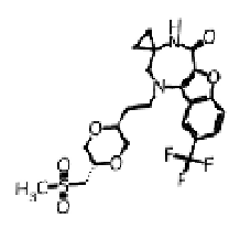 CS(=O)(=O)C[C@@H]1CO[C@@H](CCN2CC3(CC3)NC(=O)c3oc4ccc(C(F)(F)F)cc4c32)CO1